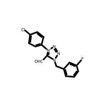 O=Cc1n(Cc2cccc(F)c2)nn[n+]1-c1ccc(Cl)cc1